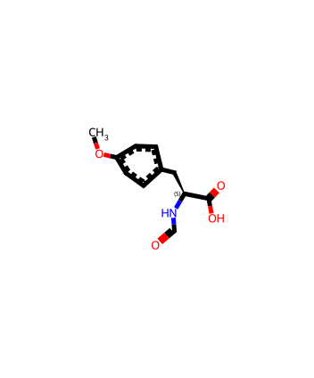 COc1ccc(C[C@H](NC=O)C(=O)O)cc1